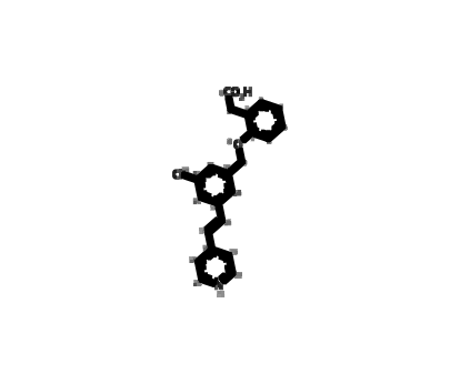 O=C(O)Cc1ccccc1OCc1cc(Cl)cc(C=Cc2ccncc2)c1